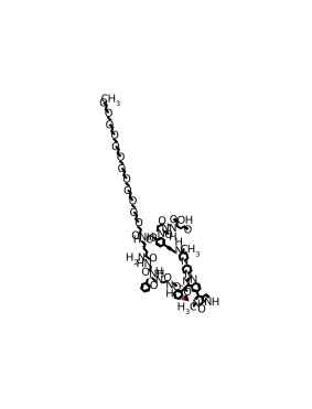 COCCOCCOCCOCCOCCOCCOCCOCCOCCOCCOCCOCCC(=O)NCCCC[C@H](N)C(=O)NCC(=O)N[C@@H](Cc1ccccc1)C(=O)NCC(=O)NCOC[C@](OC1CC1)(c1ccccc1)c1nc(N2CCC(N3CCC(C)(NCC#Cc4ccc(OC)c(N5CCC(=O)N(CNC(CC=O)C(=O)O)C5=O)c4)CC3)CC2)nc2ccc(-c3cn(C)c(=O)c4[nH]ccc34)cc12